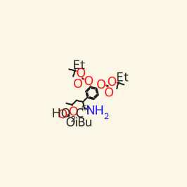 CCC(C)(C)OC(=O)Oc1ccc(C(CC(C)OC(=O)OCC(C)C)[C@H](N)C(=O)O)cc1OC(=O)OC(C)(C)CC